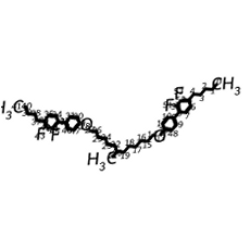 CCCCCc1ccc(-c2ccc(OCCCCCCC(C)CCCCCCOc3ccc(-c4ccc(CCCCC)c(F)c4F)cc3)cc2)c(F)c1F